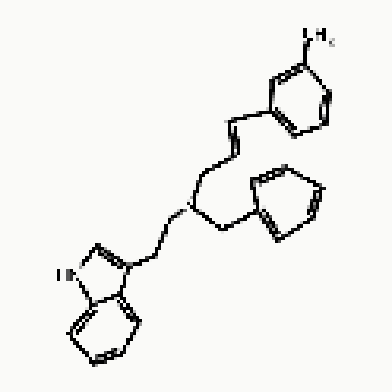 Cc1cccc(/C=C/CN(CCc2c[nH]c3ccccc23)Cc2ccccc2)c1